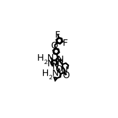 NC(=O)C(=CC1CC1)C(=O)N1CCCC(n2nc(-c3ccc(Oc4cc(F)cc(F)c4)cc3)c3c(N)ncnc32)C1